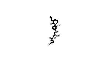 C=CCC1CCCN(c2ccc(NC[C@@H](O)CNC(=O)c3ccc(Cl)s3)cc2Cl)C1=O